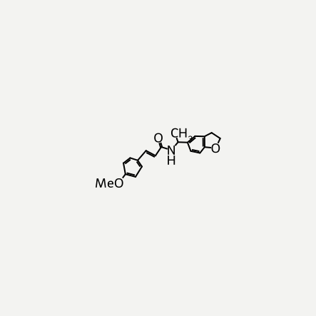 COc1ccc(C=CC(=O)NC(C)c2ccc3c(c2)CCO3)cc1